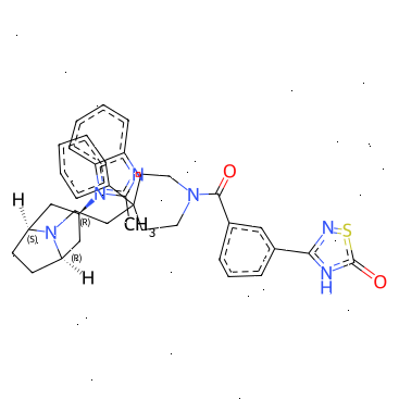 Cc1nc2ccccc2n1[C@H]1C[C@H]2CC[C@@H](C1)N2CCC1(c2ccccc2)CCN(C(=O)c2cccc(-c3nsc(=O)[nH]3)c2)CC1